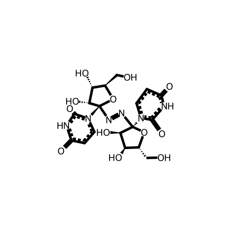 O=c1ccn([C@]2(N=N[C@@]3(n4ccc(=O)[nH]c4=O)O[C@H](CO)[C@@H](O)[C@H]3O)O[C@H](CO)[C@@H](O)[C@H]2O)c(=O)[nH]1